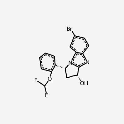 O[C@@H]1C[C@H](c2ccccc2OC(F)F)n2c1nc1ccc(Br)cc12